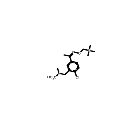 C/C(=N/OC[Si](C)(C)C)c1ccc(Cl)c(CN(C)C(=O)O)c1